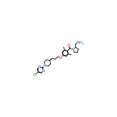 Cc1cc(OCCCC2CCN(c3ncc(Cl)cn3)CC2)cc(C)c1C(=O)N1CCCC1CN